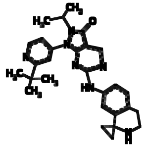 CC(C)n1c(=O)c2cnc(Nc3ccc4c(c3)C3(CC3)NCC4)nc2n1-c1ccnc(C(C)(C)C)c1